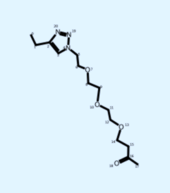 CCc1cn(CCOCCOCCOCCC(C)=O)nn1